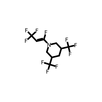 F/C(=C\C(F)(F)F)N1CC(C(F)(F)F)CC(C(F)(F)F)C1